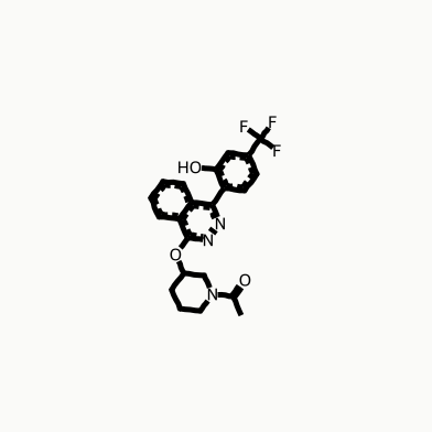 CC(=O)N1CCCC(Oc2nnc(-c3ccc(C(F)(F)F)cc3O)c3ccccc23)C1